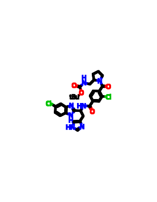 CC(C)(C)OC(=O)NCC1CCCN1C(=O)c1ccc(C(=O)NC(Cc2c[nH]cn2)c2nc3cc(Cl)ccc3[nH]2)cc1Cl